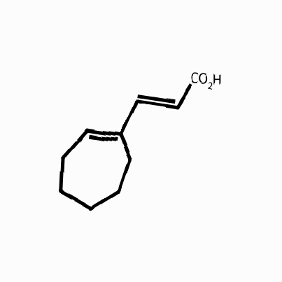 O=C(O)C=CC1=CCCCCC1